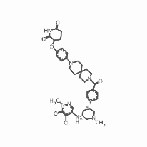 CN1C[C@H](Nc2cnn(C)c(=O)c2Cl)C[C@H](c2ccc(C(=O)N3CCC4(CC3)CCN(c3ccc(OC5CCC(=O)NC5=O)cc3)CC4)cc2)C1